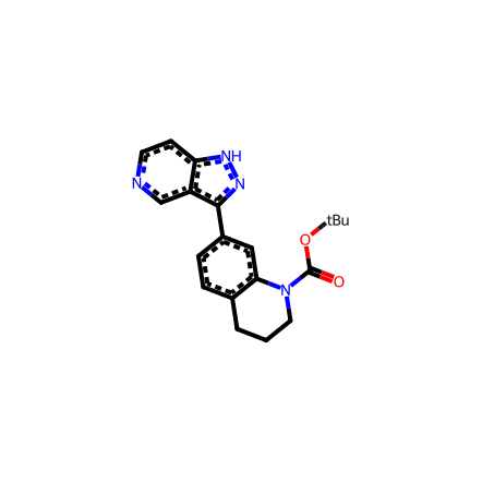 CC(C)(C)OC(=O)N1CCCc2ccc(-c3n[nH]c4ccncc34)cc21